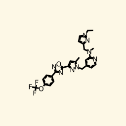 CCn1ccc(CN(C)c2cc(Cn3nc(-c4nc(-c5ccc(OC(F)(F)F)cc5)no4)cc3C)ccn2)n1